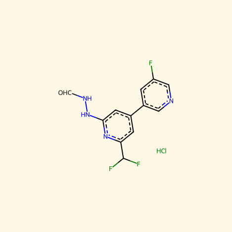 Cl.O=CNNc1cc(-c2cncc(F)c2)cc(C(F)F)n1